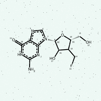 Nc1nc2c(ncn2[C@@H]2O[C@H](CO)C(CF)C2O)c(=O)[nH]1